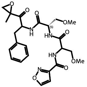 COCC(NC(=O)c1ccon1)C(=O)N[C@@H](COC)C(=O)NC(Cc1ccccc1)C(=O)C1(C)CO1